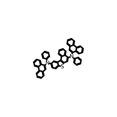 c1ccc(N(c2ccc3sc4cc(N(c5ccccc5)c5cc6ccccc6c6ccccc56)c5ccccc5c4c3c2)c2cc3ccccc3c3ccccc23)cc1